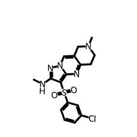 CNc1nn2cc3c(nc2c1S(=O)(=O)c1cccc(Cl)c1)CCN(C)C3